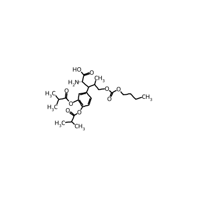 CCCCOC(=O)OCC(C)C(c1ccc(OC(=O)C(C)C)c(OC(=O)C(C)C)c1)[C@H](N)C(=O)O